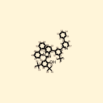 CC(C)(C)c1cc(-c2cc(-c3ccccc3)ccn2)cc(-c2cccc3c2nc(-c2cc(C(C)(C)C)cc(C(C)(C)C)c2O)n3-c2ccccc2-c2ccccc2)c1